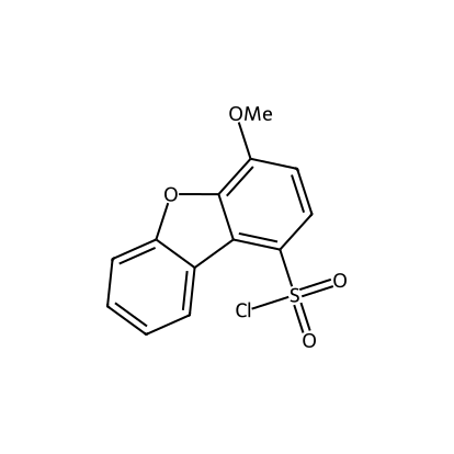 COc1ccc(S(=O)(=O)Cl)c2c1oc1ccccc12